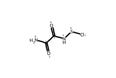 NC(=O)C(=O)NSCl